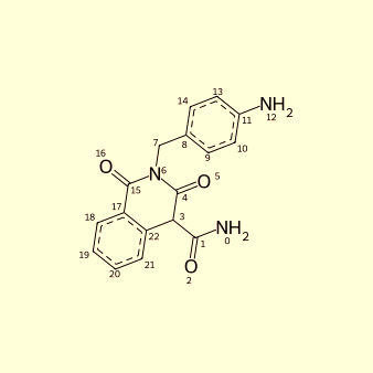 NC(=O)C1C(=O)N(Cc2ccc(N)cc2)C(=O)c2ccccc21